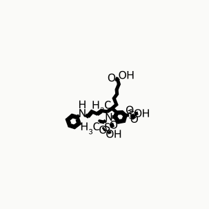 CCC(N1c2ccc(S(=O)(=O)O)cc2C(C)(CCCCCC(=O)O)C1C=CC=CNc1ccccc1)S(=O)(=O)O